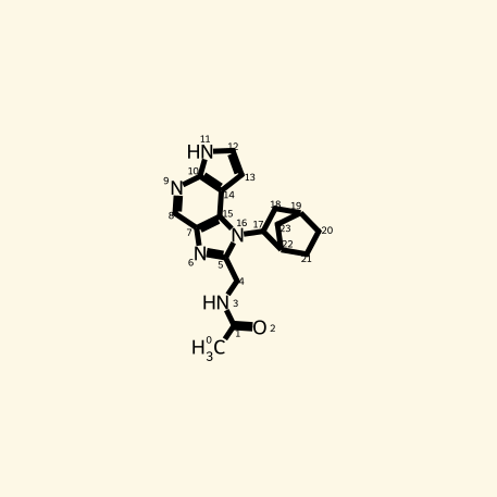 CC(=O)NCc1nc2cnc3[nH]ccc3c2n1C1CC2CCC1C2